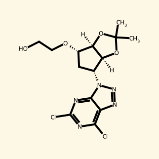 CC1(C)O[C@@H]2[C@H](O1)[C@@H](OCCO)C[C@H]2n1nnc2c(Cl)nc(Cl)nc21